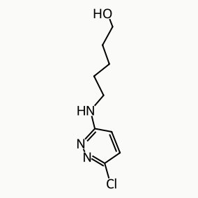 OCCCCCNc1ccc(Cl)nn1